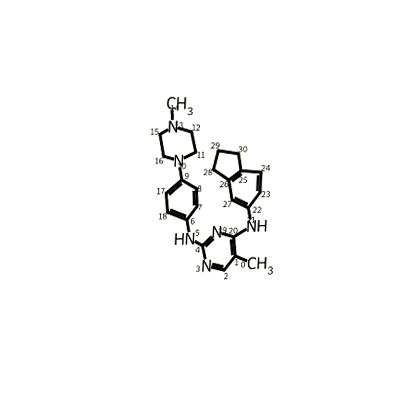 Cc1cnc(Nc2ccc(N3CCN(C)CC3)cc2)nc1Nc1ccc2c(c1)CCC2